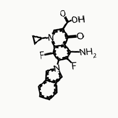 Nc1c(F)c(-n2cc3ccccc3c2)c(F)c2c1c(=O)c(C(=O)O)cn2C1CC1